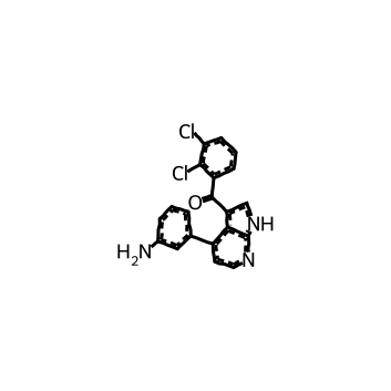 Nc1cccc(-c2ccnc3[nH]cc(C(=O)c4cccc(Cl)c4Cl)c23)c1